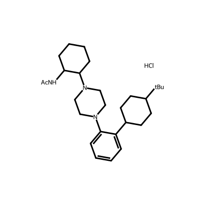 CC(=O)NC1CCCCC1N1CCN(c2ccccc2C2CCC(C(C)(C)C)CC2)CC1.Cl